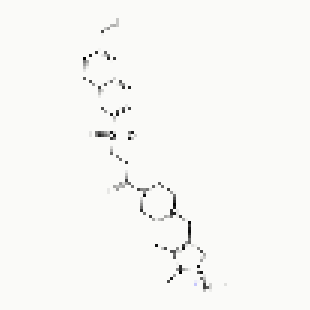 C/N=c1\sc(CN2CCN(C(=O)CCS(=O)(=O)c3ccc4cc(CI)ccc4c3)CC2)c(C)n1C